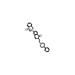 O=C1c2ccc(OCc3ccccc3[N+](=O)[O-])cc2C=CC1CCN1CCC(c2ccccc2)CC1